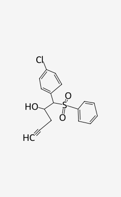 C#CCC(O)C(c1ccc(Cl)cc1)S(=O)(=O)c1ccccc1